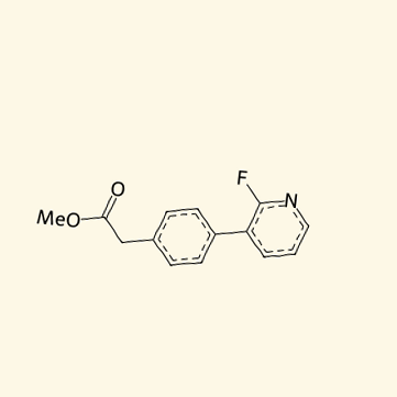 COC(=O)Cc1ccc(-c2cccnc2F)cc1